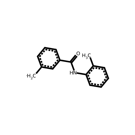 [CH2]c1cccc(C(=O)Nc2ccccc2C)c1